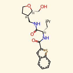 CC(C)C[C@H](NC(=O)c1cc2ccccc2s1)C(=O)NC[C@H]1CCO[C@@H]1CO